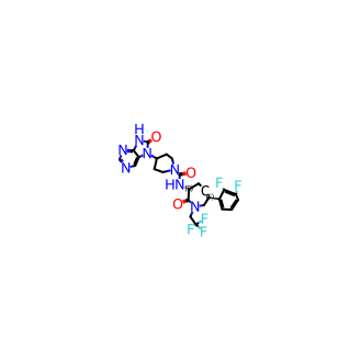 O=C(N[C@@H]1CC[C@@H](c2cccc(F)c2F)CN(CC(F)(F)F)C1=O)N1CCC(n2c(=O)[nH]c3ncncc32)CC1